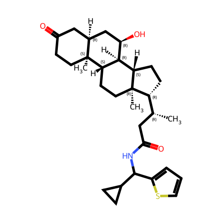 C[C@H](CC(=O)NC(c1cccs1)C1CC1)[C@H]1CC[C@H]2[C@@H]3[C@H](O)C[C@@H]4CC(=O)CC[C@]4(C)[C@H]3CC[C@]12C